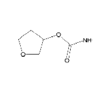 [NH]C(=O)OC1CCOC1